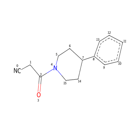 N#CCC(=O)N1CCC(c2c[c]ccc2)CC1